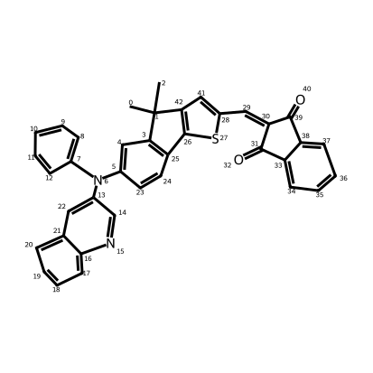 CC1(C)c2cc(N(c3ccccc3)c3cnc4ccccc4c3)ccc2-c2sc(C=C3C(=O)c4ccccc4C3=O)cc21